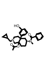 CC(=O)OC12CC[C@H](N(C)C(=O)c3ccccc3)CC1(c1cccc(O)c1)CCN(CC1CC1)C2